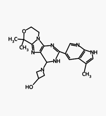 Cc1c[nH]c2ncc(C3=Nc4c(nc5n4CCOC5(C)C)C(N4CC(O)C4)N3)cc12